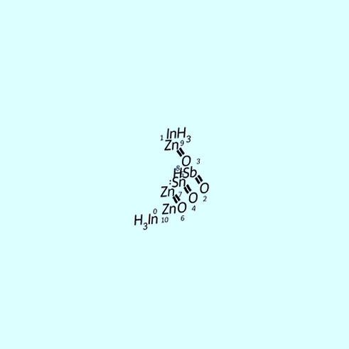 [InH3].[InH3].[O]=[SbH].[O]=[Sn].[O]=[Zn].[O]=[Zn].[Zn]